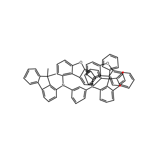 CC1(C)c2ccccc2-c2cccc(N(c3cccc(N(c4cccc5c4C(c4ccccc4)(c4ccccc4)c4ccccc4-5)c4cccc5oc6ccccc6c45)c3)c3cccc4oc5ccccc5c34)c21